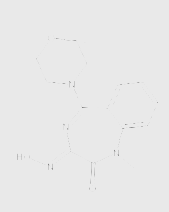 C[C@@H]1CN(c2nc(=NO)c(=O)n(C)c3ccccc23)C[C@H](C)O1